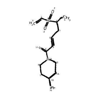 C=CS(=O)(=O)C(C)C/C=C/C(=O)N1CCC(C(C)C)CC1